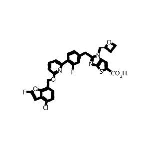 O=C(O)c1cc2c(nc(Cc3ccc(-c4cccc(OCc5ccc(Cl)c6cc(F)oc56)n4)c(F)c3)n2C[C@@H]2CCO2)s1